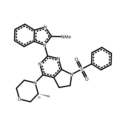 CNc1nc2ccccc2n1-c1nc(N2CCOC[C@H]2C)c2c(n1)N(S(=O)(=O)c1ccccc1)CC2